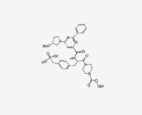 CCCCOC(=O)N1CCN(C(=O)C(Cc2ccc(CP(=O)(O)O)cc2)NC(=O)c2cc(N3CCC(OC)C3)nc(-c3ccccc3)n2)CC1